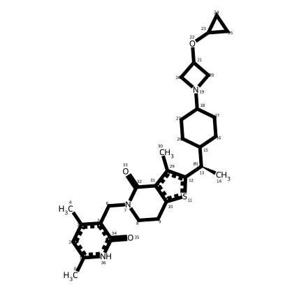 Cc1cc(C)c(CN2CCc3sc([C@H](C)C4CCC(N5CC(OC6CC6)C5)CC4)c(C)c3C2=O)c(=O)[nH]1